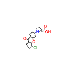 O=C(O)[C@H]1CCN(c2ccc3c(=O)c4cccc(Cl)c4oc3c2)C1